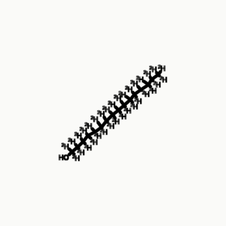 [2H]C([2H])([2H])C([2H])([2H])C([2H])([2H])C([2H])([2H])C([2H])([2H])C([2H])([2H])C([2H])([2H])C([2H])([2H])C([2H])([2H])C([2H])([2H])C([2H])([2H])C([2H])([2H])C([2H])([2H])C([2H])([2H])C([2H])([2H])C([2H])([2H])O